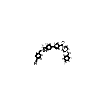 N#Cc1ccc(CNC(=O)c2ccc(-c3ccc(C(=O)N4CCN(Cc5ccc(F)cc5)CC4)cn3)cc2)cc1